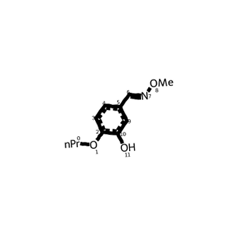 CCCOc1ccc(C=NOC)cc1O